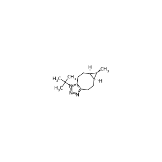 C[C@H]1[C@H]2CCc3nnn(C(C)(C)C)c3CC[C@@H]12